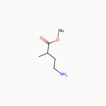 CC(C[CH]N)C(=O)OC(C)(C)C